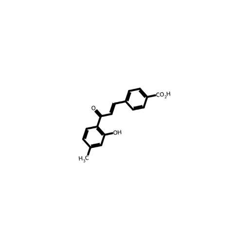 Cc1ccc(C(=O)/C=C/c2ccc(C(=O)O)cc2)c(O)c1